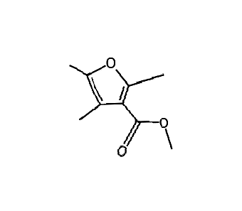 COC(=O)c1c(C)oc(C)c1C